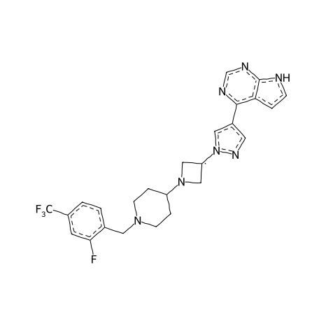 Fc1cc(C(F)(F)F)ccc1CN1CCC(N2C[C](n3cc(-c4ncnc5[nH]ccc45)cn3)C2)CC1